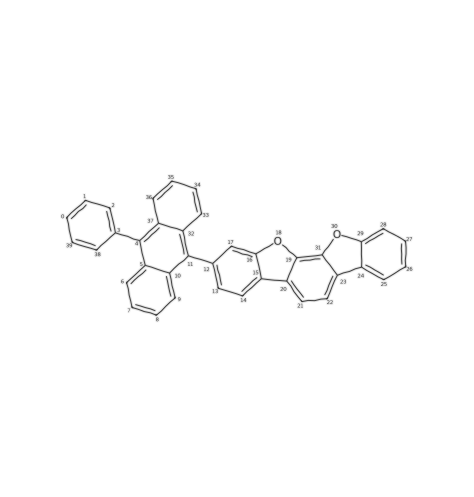 c1ccc(-c2c3ccccc3c(-c3ccc4c(c3)oc3c4ccc4c5ccccc5oc43)c3ccccc23)cc1